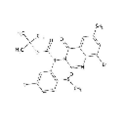 Cc1cc(Br)c2ncn(N(C(=O)OC(C)(C)C)c3cc(Cl)ccc3[S+](C)[O-])c(=O)c2c1